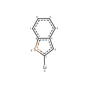 [Li][c]1cc2ccccc2s1